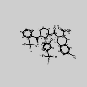 CCC[C@H]1N(C(=O)c2ncccc2C(F)(F)F)CCC[C@@]1(Oc1csc(C(F)(F)F)c1)C(=O)N1Cc2ccc(Cl)cc2C[C@@H]1C(=O)O